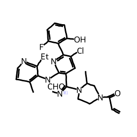 C=CC(=O)N1CCN(/C(=N/C)c2cc(Cl)c(-c3c(O)cccc3F)nc2N(C=O)c2c(C)ccnc2CC)C(C)C1